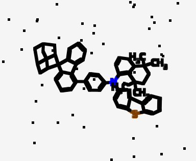 CC1(C)CCC(C)(C)C2CC=CC(N(c3ccc(-c4cccc5c4-c4ccccc4C54C5CC6CC7CC4C75C6)cc3)c3ccc4sc5ccccc5c4c3)=C21